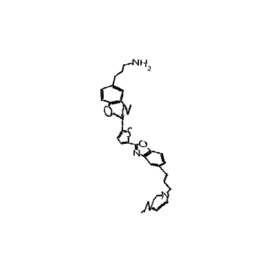 CN1C=CN(CCCc2ccc3oc(-c4ccc(-c5nc6cc(CCCN)ccc6o5)s4)nc3c2)C1